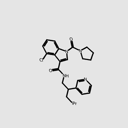 CC(C)CC(CNC(=O)c1cn(C(=O)N2CCCC2)c2cccc(Cl)c12)c1cccnc1